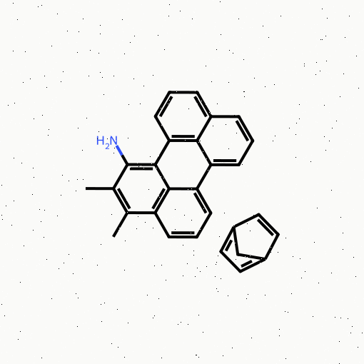 C1=CC2=CC=C1C2.Cc1c(C)c2cccc3c4cccc5cccc(c(c1N)c23)c54